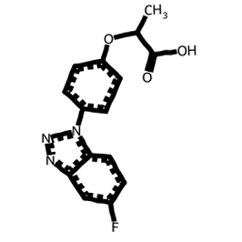 CC(Oc1ccc(-n2nnc3cc(F)ccc32)cc1)C(=O)O